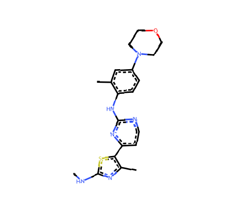 CNc1nc(C)c(-c2ccnc(Nc3ccc(N4CCOCC4)cc3C)n2)s1